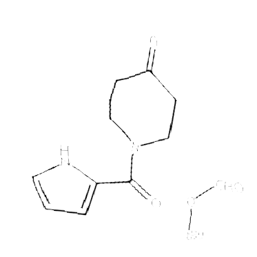 CC(C)(C)OC=O.O=C1CCN(C(=O)c2ccc[nH]2)CC1